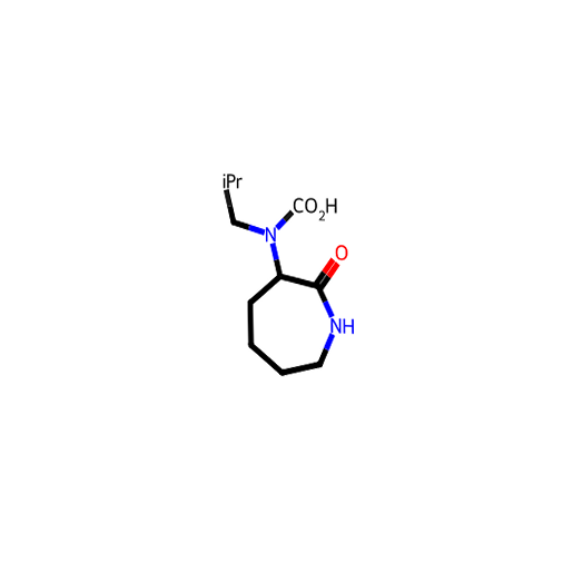 CC(C)CN(C(=O)O)C1CCCCNC1=O